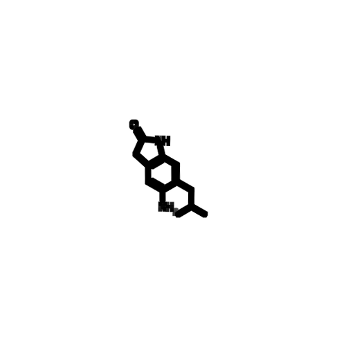 CC(C)Cc1cc2c(cc1N)CC(=O)N2